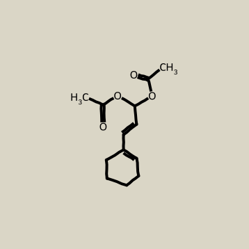 CC(=O)OC(/C=C/C1=CCCCC1)OC(C)=O